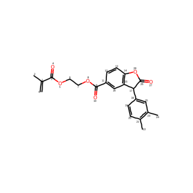 C=C(C)C(=O)OCCOC(=O)c1ccc2c(c1)C(c1ccc(C)c(C)c1)C(=O)O2